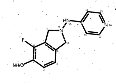 COc1ccc2c(c1F)CN(Nc1ccncc1)C2